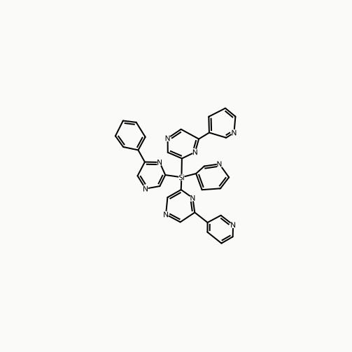 c1ccc(-c2cncc([Si](c3cccnc3)(c3cncc(-c4cccnc4)n3)c3cncc(-c4cccnc4)n3)n2)cc1